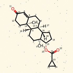 C[C@]12CC[C@H]3[C@@H](CCC4=CC(=O)CC[C@@]43C)[C@@H]1CC[C@@H]2OC(=O)C1CC1